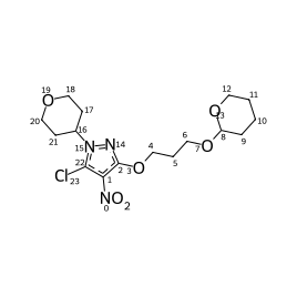 O=[N+]([O-])c1c(OCCCOC2CCCCO2)nn(C2CCOCC2)c1Cl